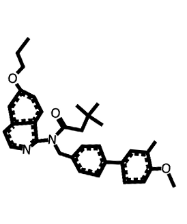 CCCOc1ccc2c(N(Cc3ccc(-c4ccc(OC)c(C)c4)cc3)C(=O)CC(C)(C)C)nccc2c1